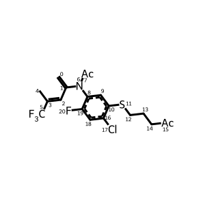 C=C(/C=C(\C)C(F)(F)F)N(C(C)=O)c1cc(SCCCC(C)=O)c(Cl)cc1F